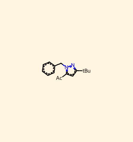 CC(=O)c1cc(C(C)(C)C)nn1Cc1ccccc1